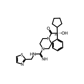 N=C(NCc1nccs1)N1CCN(C(=O)[C@](O)(c2ccccc2)C2CCCC2)CC1